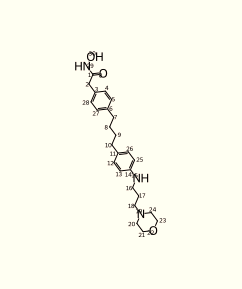 O=C(Cc1ccc(CCCCc2ccc(NCCCN3CCOCC3)cc2)cc1)NO